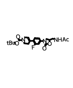 CC(=O)NCC1CN(c2ccc(C3=CCN(C(=O)OC(C)(C)C)CC3)c(F)c2)C(=O)O1